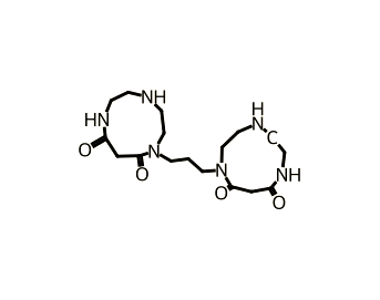 O=C1CC(=O)N(CCCN2CCNCCNC(=O)CC2=O)CCNCCN1